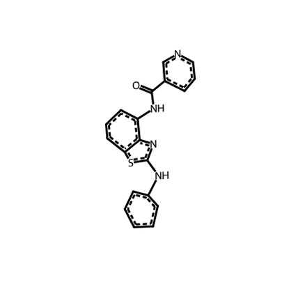 O=C(Nc1cccc2sc(Nc3ccccc3)nc12)c1cccnc1